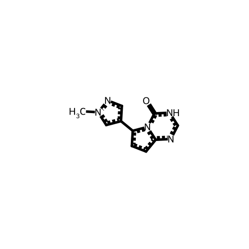 Cn1cc(-c2ccc3nc[nH]c(=O)n23)cn1